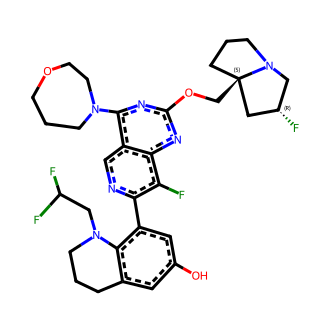 Oc1cc2c(c(-c3ncc4c(N5CCCOCC5)nc(OC[C@@]56CCCN5C[C@H](F)C6)nc4c3F)c1)N(CC(F)F)CCC2